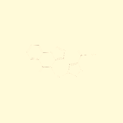 COC(=O)c1nnn(C#N)c1-c1ncn2c3ccccc3c(=O)n(C)c12